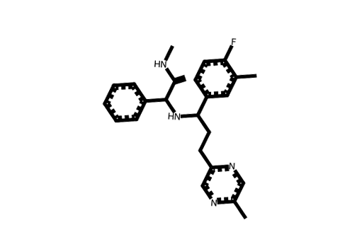 C=C(NC)C(NC(CCc1cnc(C)cn1)c1ccc(F)c(C)c1)c1ccccc1